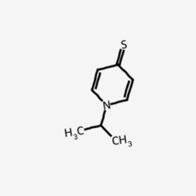 CC(C)n1ccc(=S)cc1